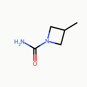 CC1CN(C(N)=O)C1